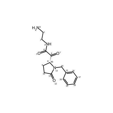 NCCNC(=O)C(=O)[C@H]1CCC(=O)N1Cc1ccccc1